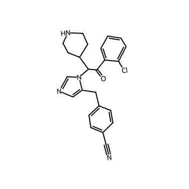 N#Cc1ccc(Cc2cncn2C(C(=O)c2ccccc2Cl)C2CCNCC2)cc1